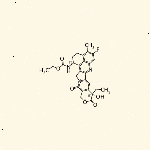 CCOC(=O)N[C@H]1CCc2c(C)c(F)cc3nc4c(c1c23)Cn1c-4cc2c(c1=O)COC(=O)[C@]2(O)CC